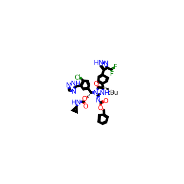 CC(C)(C)C[C@]1(c2ccc(-c3c[nH]nc3C(F)F)cc2)NC(=NC(=O)OCc2ccccc2)N([C@H](COC(=O)NC2CC2)c2ccc(Cl)c(-c3ncn[nH]3)c2)C1=O